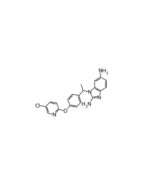 CC(c1ccc(Oc2ccc(Cl)cn2)cc1)n1c(N)nc2ccc(N)cc21